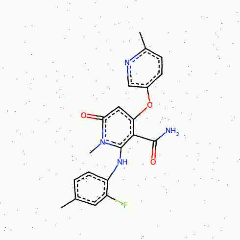 Cc1ccc(Nc2c(C(N)=O)c(Oc3ccc(C)nc3)cc(=O)n2C)c(F)c1